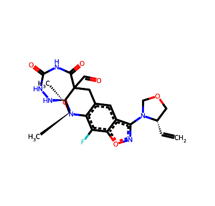 C=C[C@H]1COCN1c1noc2c(F)c3c(cc12)CC1(C=O)C(=O)NC(=O)NN[C@@]12[C@H](C)O[C@H](C)CN32